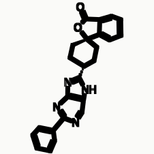 O=C1O[C@]2(CC[C@@H](c3nc4nc(-c5ccccc5)ncc4[nH]3)CC2)c2ccccc21